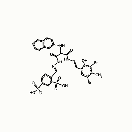 Cc1c(Br)cc(/C=N/NC(=O)C(Nc2ccc3ccccc3c2)C(=O)N/N=C/c2ccc(S(=O)(=O)O)cc2S(=O)(=O)O)c(O)c1Br